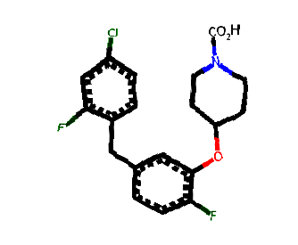 O=C(O)N1CCC(Oc2cc(Cc3ccc(Cl)cc3F)ccc2F)CC1